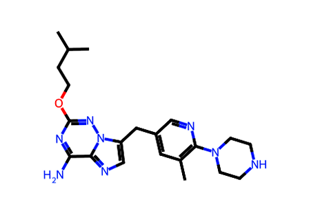 Cc1cc(Cc2cnc3c(N)nc(OCCC(C)C)nn23)cnc1N1CCNCC1